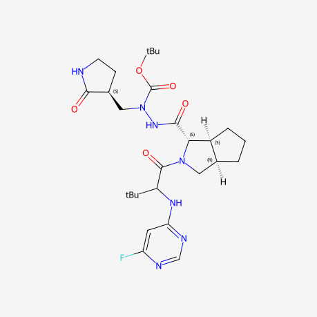 CC(C)(C)OC(=O)N(C[C@@H]1CCNC1=O)NC(=O)[C@@H]1[C@H]2CCC[C@H]2CN1C(=O)C(Nc1cc(F)ncn1)C(C)(C)C